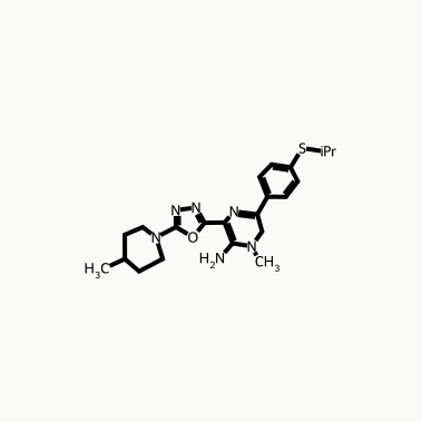 CC1CCN(c2nnc(C3=C(N)N(C)CC(c4ccc(SC(C)C)cc4)=N3)o2)CC1